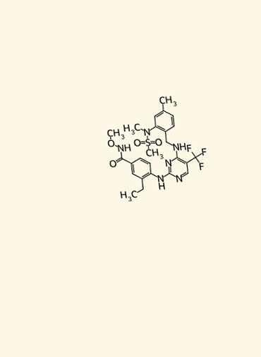 CCc1cc(C(=O)NOC)ccc1Nc1ncc(C(F)(F)F)c(NCc2ccc(C)cc2N(C)S(C)(=O)=O)n1